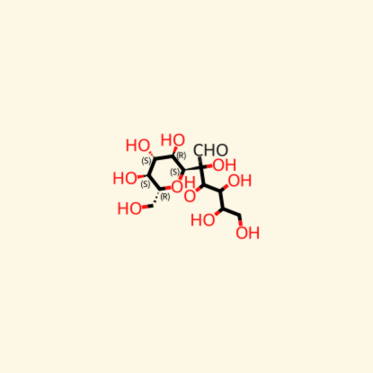 O=CC(O)(C(O)C(O)C(O)CO)[C@H]1O[C@H](CO)[C@@H](O)[C@H](O)[C@H]1O